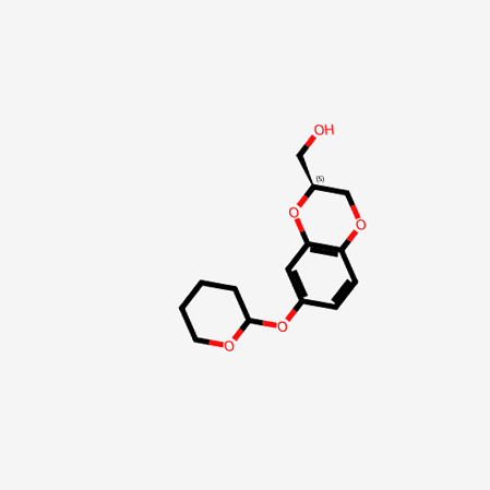 OC[C@H]1COc2ccc(OC3CCCCO3)cc2O1